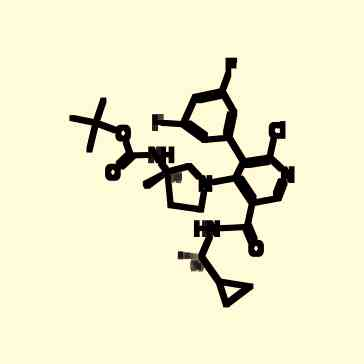 C[C@H](NC(=O)c1cnc(Cl)c(-c2cc(F)cc(F)c2)c1N1CC[C@](C)(NC(=O)OC(C)(C)C)C1)C1CC1